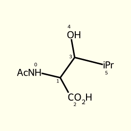 CC(=O)NC(C(=O)O)C(O)C(C)C